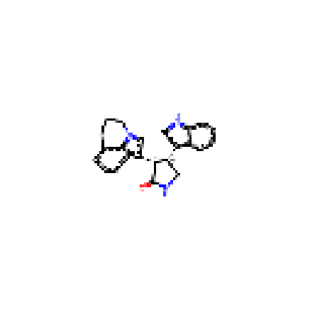 O=C1NC[C@@H](c2c[nH]c3ccccc23)[C@H]1c1cn2c3c(cccc13)CCC2